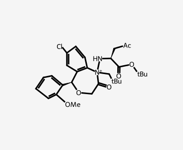 COc1ccccc1[C@@H]1OCC(=O)[N+](CC(C)(C)C)(N[C@@H](CC(C)=O)C(=O)OC(C)(C)C)c2ccc(Cl)cc21